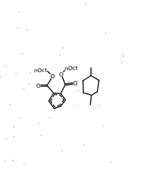 CC1CCC(C)CC1.CCCCCCCCOC(=O)c1ccccc1C(=O)OCCCCCCCC